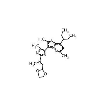 CCC(CC)c1cc(C)nn2c(-c3sc(N(C)CC4OCCO4)nc3C)c(C)nc12